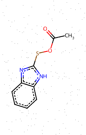 CC(=O)OSc1nc2ccccc2[nH]1